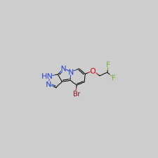 FC(F)COc1cc(Br)c2c3cn[nH]c3nn2c1